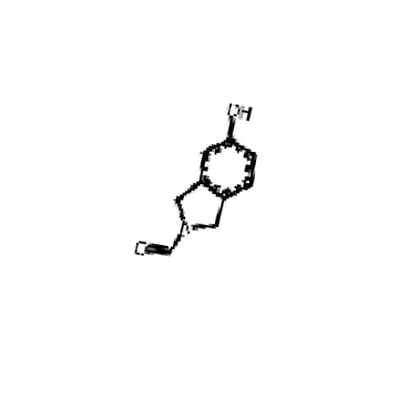 O=CN1Cc2ccc(O)cc2C1